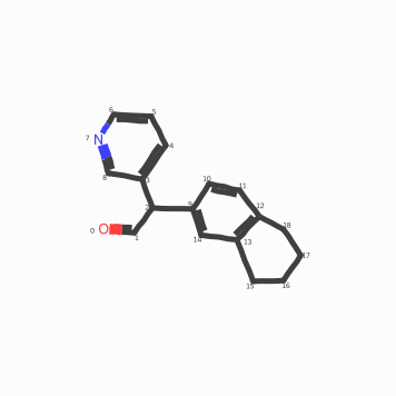 O=CC(c1cccnc1)c1ccc2c(c1)CCCC2